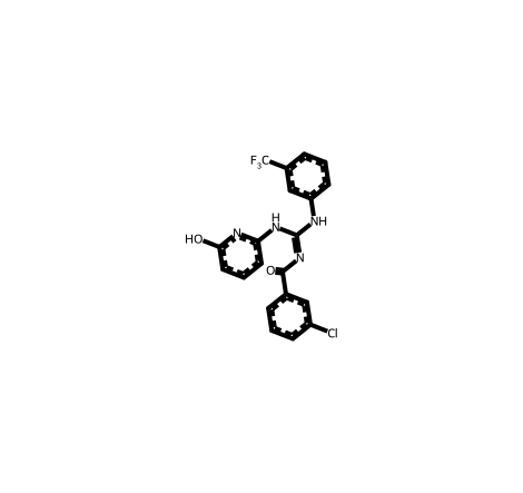 O=C(/N=C(/Nc1cccc(C(F)(F)F)c1)Nc1cccc(O)n1)c1cccc(Cl)c1